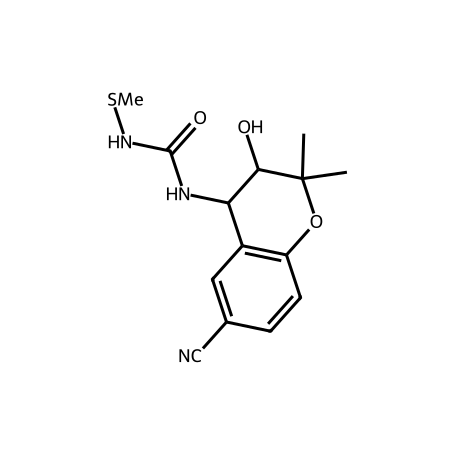 CSNC(=O)NC1c2cc(C#N)ccc2OC(C)(C)C1O